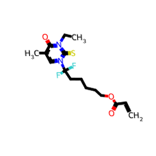 C=CC(=O)OCCCCCC(F)(F)n1cc(C)c(=O)n(CC)c1=S